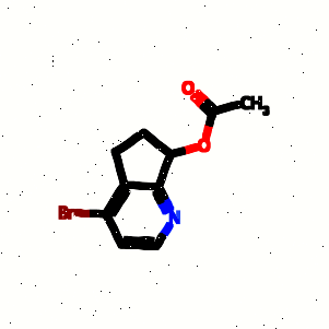 CC(=O)OC1CCc2c(Br)ccnc21